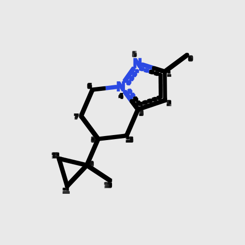 Cc1cc2n(n1)CCC(C1(C)CC1)C2